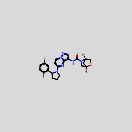 O=C(Nc1cnn2ccc(N3CCCC3c3cc(F)ccc3F)nc12)N1C[C@@H]2C[C@H]1CO2